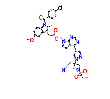 CCS(=O)(=O)N1CC(CC#N)(n2cc(-c3ncnc4c3ccn4COC(=O)Cc3c(C)n(C(=O)c4ccc(Cl)cc4)c4ccc(OC)cc34)cn2)C1